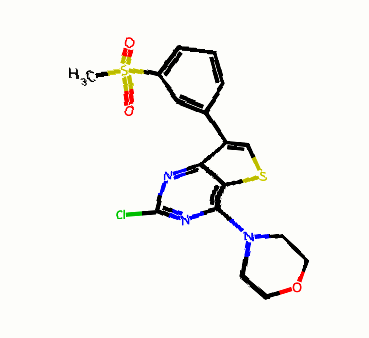 CS(=O)(=O)c1cccc(-c2csc3c(N4CCOCC4)nc(Cl)nc23)c1